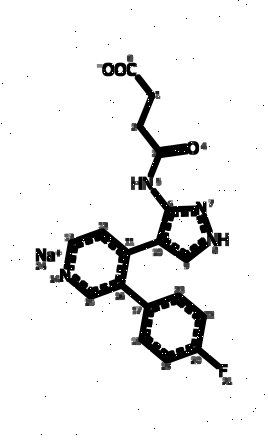 O=C([O-])CCC(=O)Nc1n[nH]cc1-c1ccncc1-c1ccc(F)cc1.[Na+]